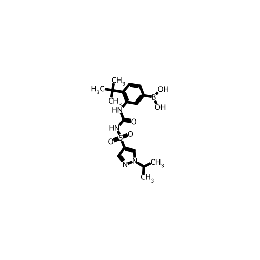 CC(C)n1cc(S(=O)(=O)NC(=O)Nc2cc(B(O)O)ccc2C(C)(C)C)cn1